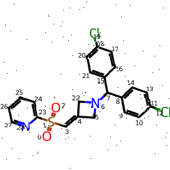 O=S(=O)(C=C1CN(C(c2ccc(Cl)cc2)c2ccc(Cl)cc2)C1)c1ccccn1